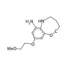 COCCOc1cc(N)c2c(c1)OCCCCN2